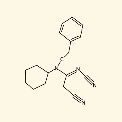 N#CCC(=NC#N)N(CCc1ccccc1)C1CCCCC1